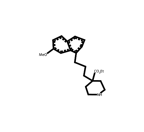 CCOC(=O)C1(CCCc2cccc3ccc(OC)cc23)CCNCC1